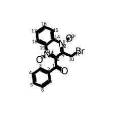 O=C(c1ccccc1)c1c(CBr)[n+]([O-])c2ccccc2[n+]1[O-]